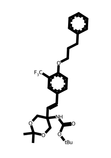 CC(C)(C)OC(=O)NC1(C=Cc2ccc(OCCCc3ccccc3)c(C(F)(F)F)c2)COC(C)(C)OC1